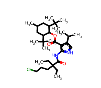 CCC(CC)(CCCCl)C(=O)Nc1[nH]cc(C(C)C)c1C(=O)OC1C(C(C)(C)C)CC(C)CC1C(C)(C)C